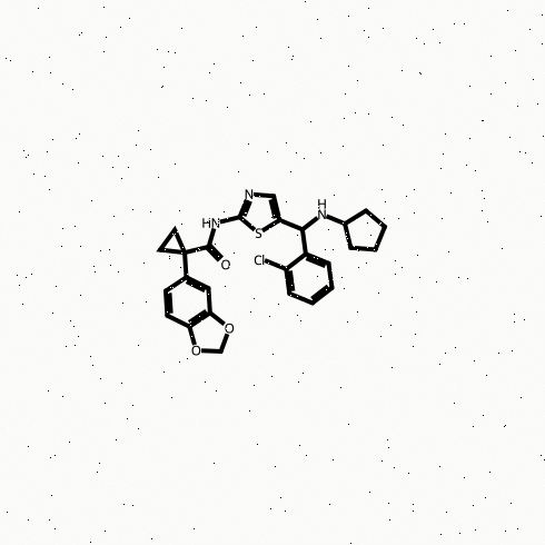 O=C(Nc1ncc(C(NC2CCCC2)c2ccccc2Cl)s1)C1(c2ccc3c(c2)OCO3)CC1